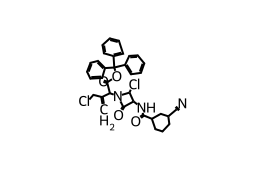 C=C(CCl)C(C(=O)OC(c1ccccc1)(c1ccccc1)c1ccccc1)N1C(=O)C(NC(=O)C2CCCC(C#N)C2)C1Cl